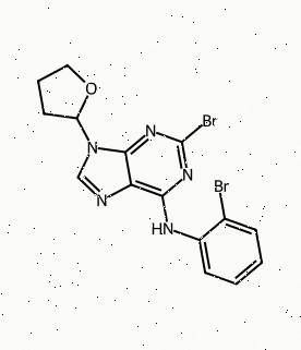 Brc1nc(Nc2ccccc2Br)c2ncn(C3CCCO3)c2n1